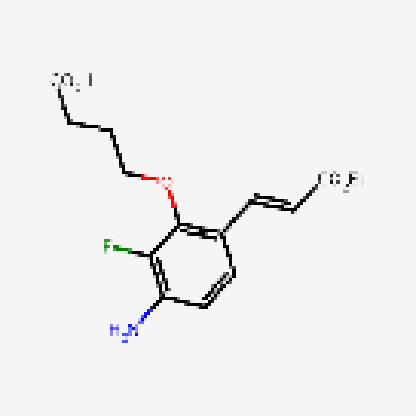 CCOC(=O)/C=C/c1ccc(N)c(F)c1OCCCC(=O)O